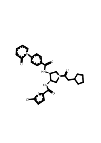 O=C(N[C@H]1CN(C(=O)CC2CCCC2)C[C@H]1NC(=O)c1ccc(Cl)s1)c1ccc(-n2ccccc2=O)cc1